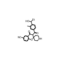 CCC(O)c1ccc(C(=O)C2C(=O)c3cc(C#N)ccc3OC23CCNCC3)cc1C